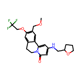 COCc1cc2c(cc1OCC(F)(F)F)CCn1c-2cc(NCC2CCCO2)cc1=O